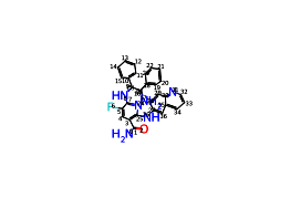 NC(=O)c1cc(F)c(N[C@@H](c2ccccc2)[C@H](N)c2ccccc2)nc1Nc1ccc2ncccc2c1